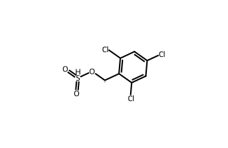 O=[SH](=O)O[CH]c1c(Cl)cc(Cl)cc1Cl